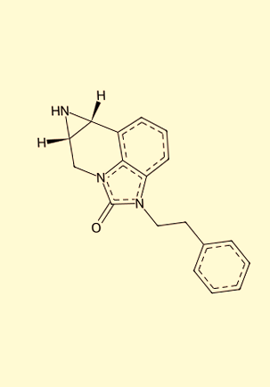 O=c1n(CCc2ccccc2)c2cccc3c2n1C[C@@H]1N[C@H]31